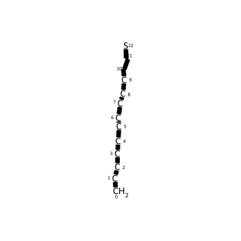 C=C=C=C=C=C=C=C=C=C=C=C=S